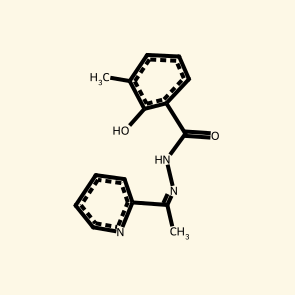 CC(=NNC(=O)c1cccc(C)c1O)c1ccccn1